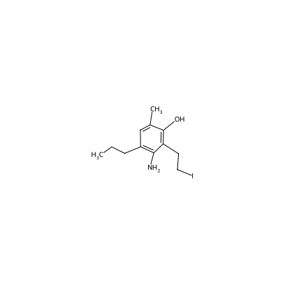 CCCc1cc(C)c(O)c(CCI)c1N